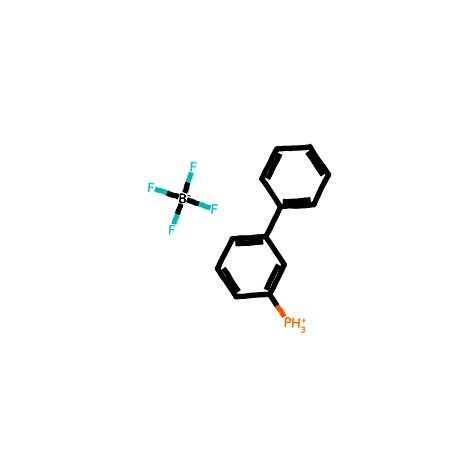 F[B-](F)(F)F.[PH3+]c1cccc(-c2ccccc2)c1